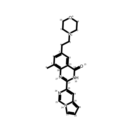 Cc1cc(CCN2CCOCC2)cc2c(=O)[nH]c(-c3cc4cccn4cn3)nc12